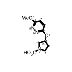 COc1ccc(O[C@H]2CCN(C(=O)O)C2)nn1